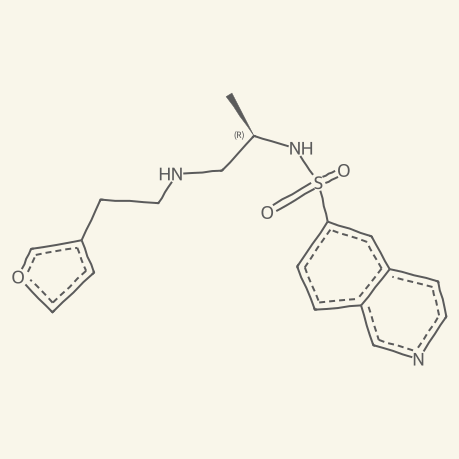 C[C@H](CNCCc1ccoc1)NS(=O)(=O)c1ccc2cnccc2c1